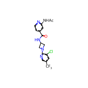 CC(=O)Nc1cc(C(=O)NC2CN(c3ncc(C(F)(F)F)cc3Cl)C2)ccn1